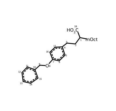 CCCCCCCCC(CCc1ccc(OCc2ccccc2)cc1)C(=O)O